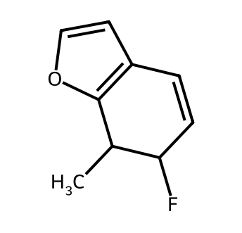 CC1c2occc2C=CC1F